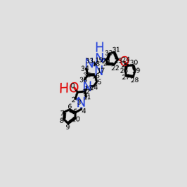 OC1CN(Cc2ccccc2)CC1N1CCc2nc(Nc3ccc(Oc4ccccc4)cc3)ncc2C1